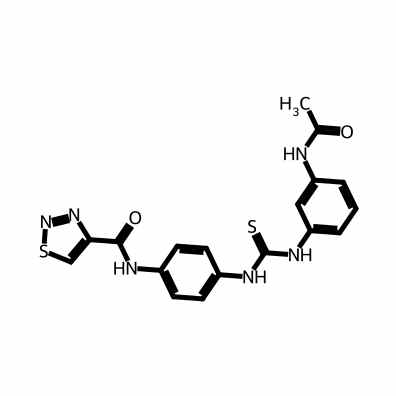 CC(=O)Nc1cccc(NC(=S)Nc2ccc(NC(=O)c3csnn3)cc2)c1